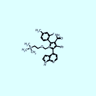 Cc1ccc(-c2c(C(N)=O)c(C(C)C)c(-c3ccnc4[nH]ccc34)n2COCC[Si](C)(C)C)c(F)c1